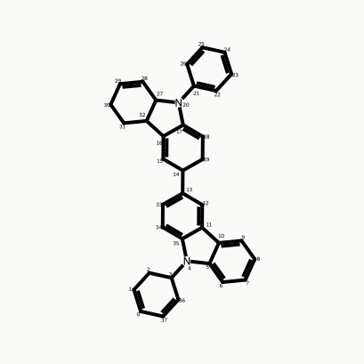 C1=CCC(n2c3ccccc3c3cc(C4C=C5C(=CC4)N(c4ccccc4)C4C=CCCC54)ccc32)C=C1